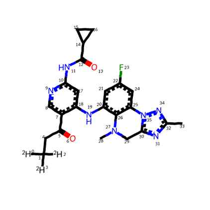 [2H]C([2H])([2H])CC(=O)c1cnc(NC(=O)C2CC2)cc1Nc1cc(F)cc2c1N(C)Cc1nc(C)nn1-2